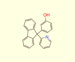 Oc1cccc(C2(c3ccccn3)c3ccccc3-c3ccccc32)c1